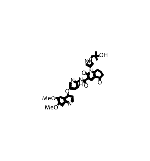 COc1cc2nccc(Oc3ccc(NC(=O)c4cc5c(n(-c6cnn(CC(C)(C)O)c6)c4=O)CCCC5=O)nc3)c2cc1OC